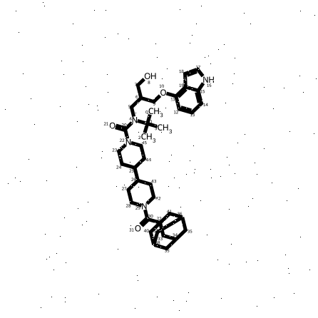 CC(C)(C)N(CC(CO)COc1cccc2[nH]ccc12)C(=O)N1CCC(C2CCN(C(=O)C34CC5CC(CC(C5)C3)C4)CC2)CC1